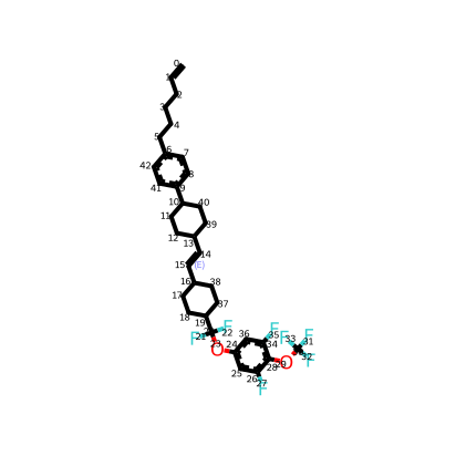 C=CCCCCc1ccc(C2CCC(/C=C/C3CCC(C(F)(F)Oc4cc(F)c(OC(F)(F)F)c(F)c4)CC3)CC2)cc1